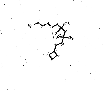 CCCCOCC(C)(C)CC(C)(C)CCC1CCC1